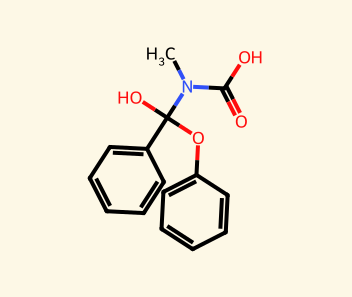 CN(C(=O)O)C(O)(Oc1ccccc1)c1ccccc1